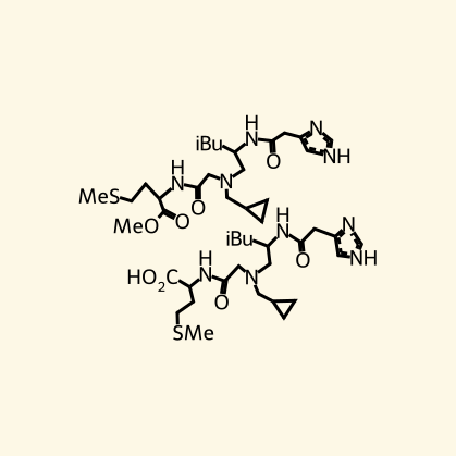 CCC(C)C(CN(CC(=O)NC(CCSC)C(=O)O)CC1CC1)NC(=O)Cc1c[nH]cn1.CCC(C)C(CN(CC(=O)NC(CCSC)C(=O)OC)CC1CC1)NC(=O)Cc1c[nH]cn1